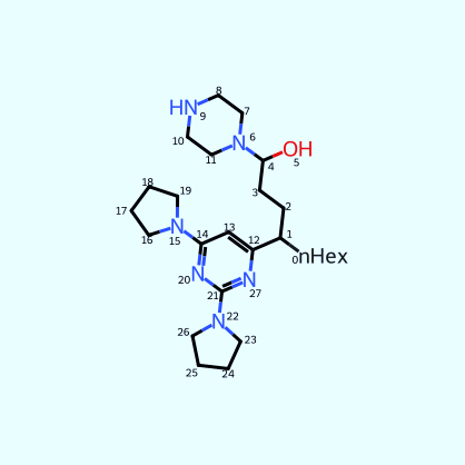 CCCCCCC(CCC(O)N1CCNCC1)c1cc(N2CCCC2)nc(N2CCCC2)n1